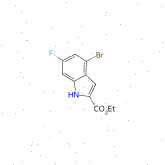 CCOC(=O)c1cc2c(Br)cc(F)cc2[nH]1